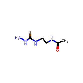 CC(=O)NCCNC(=S)NN